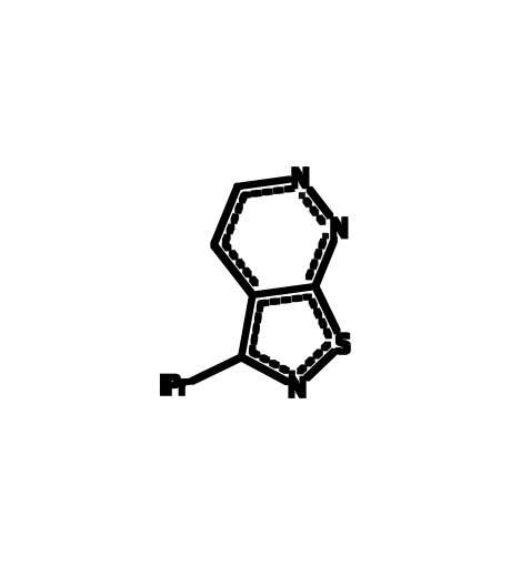 CC(C)c1nsc2nnccc12